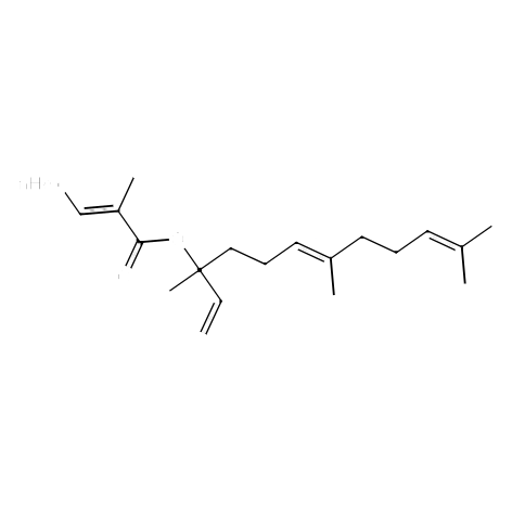 C=CC(C)(CC/C=C(\C)CCC=C(C)C)OC(=O)/C(C)=C/CCCCCC